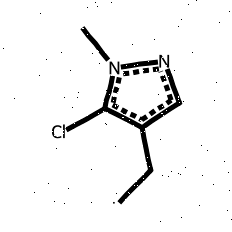 [CH2]Cc1cnn(C)c1Cl